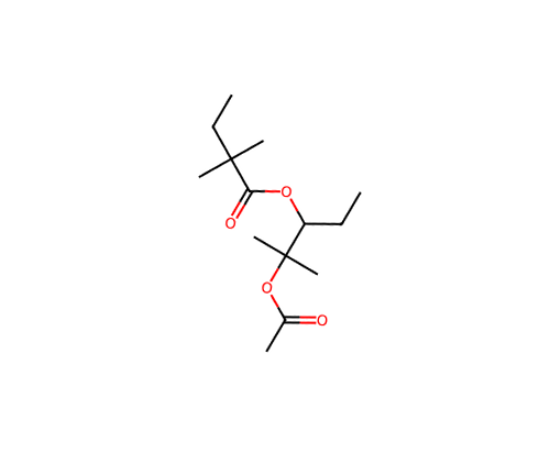 CCC(OC(=O)C(C)(C)CC)C(C)(C)OC(C)=O